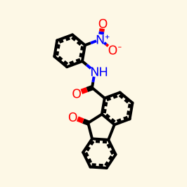 O=C(Nc1ccccc1[N+](=O)[O-])c1cccc2c1C(=O)c1ccccc1-2